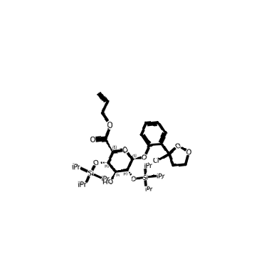 C=CCOC(=O)[C@H]1O[C@@H](Oc2ccccc2C2(Cl)CCOO2)[C@H](O[Si](C(C)C)(C(C)C)C(C)C)[C@@H](O)[C@@H]1O[Si](C(C)C)(C(C)C)C(C)C